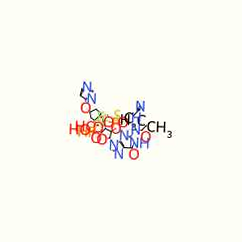 CC(C)C(=O)Nc1nc2c(ncn2[C@@H]2O[C@H](CO)[C@@H](C(F)(F)F)[C@H]2OP(=S)(OCCC#N)OC[C@H]2C[C@@H](Oc3ccncn3)C[C@@H]2O[PH](=O)O)c(=O)[nH]1